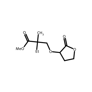 CCC(C)(COC1CCOC1=O)C(=O)OC